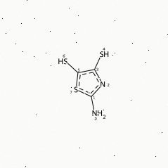 Nc1nc(S)c(S)s1